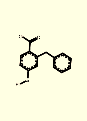 CCSc1ccc(C(=O)Cl)c(Cc2ccccc2)c1